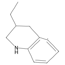 CCC1CNc2ccc[c]c2C1